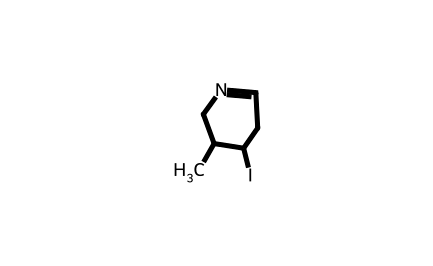 CC1CN=CCC1I